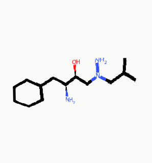 CC(C)CN(N)C[C@H](O)[C@@H](N)CC1CCCCC1